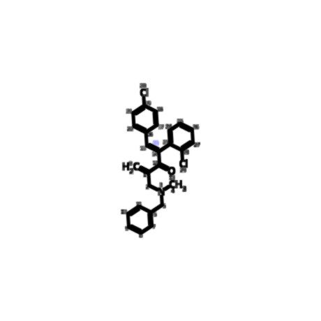 C=C(CN(C)Cc1ccccc1)C(=O)/C(=C/c1ccc(Cl)cc1)c1ccccc1Cl